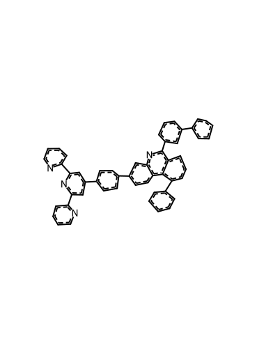 c1ccc(-c2cccc(-c3nc4cc(-c5ccc(-c6cc(-c7ccccn7)nc(-c7ccccn7)c6)cc5)ccc4c4c(-c5ccccc5)cccc34)c2)cc1